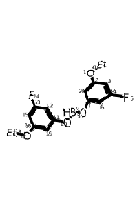 CCOc1cc(F)cc(OBOc2cc(F)cc(OCC)c2)c1